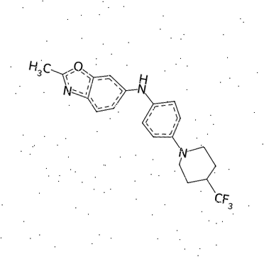 Cc1nc2ccc(Nc3ccc(N4CCC(C(F)(F)F)CC4)cc3)cc2o1